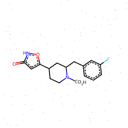 O=C(O)N1CCC(c2cc(=O)[nH]o2)CC1Cc1cccc(F)c1